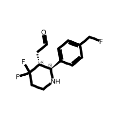 O=CC[C@@H]1[C@@H](c2ccc(CF)cc2)NCCC1(F)F